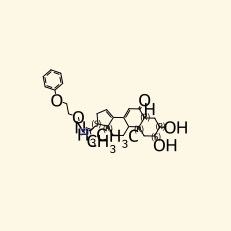 C/C(=N/OCCOc1ccccc1)[C@H]1CC=C2C3=CC(=O)[C@@H]4C[C@@H](O)[C@@H](O)C[C@]4(C)C3CC[C@@]21C